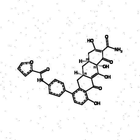 NC(=O)C1=C(O)C[C@@H]2C[C@@H]3Cc4c(-c5ccc(NC(=O)c6ccco6)cc5)ccc(O)c4C(=O)C3=C(O)[C@]2(O)C1=O